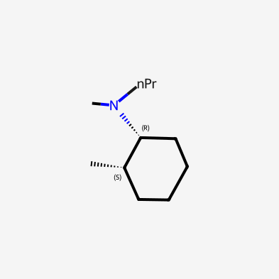 CCCN(C)[C@@H]1CCCC[C@@H]1C